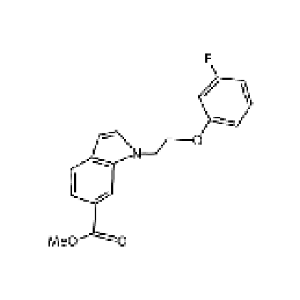 COC(=O)c1ccc2ccn(CCOc3cccc(F)c3)c2c1